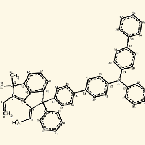 C=CC1=C2/C(=C\C)C(c3ccccc3)(c3ccc(-c4ccc(N(c5ccccc5)c5ccc(-c6ccccc6)cc5)cc4)cc3)c3cccc(c32)C1(C)C